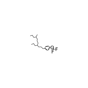 CCCC(C)CCCC(CCC)CCCc1ccc(OC(F)F)cc1